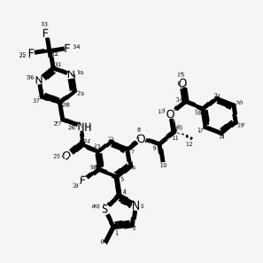 Cc1cnc(-c2cc(OC(C)[C@@H](C)OC(=O)c3ccccc3)cc(C(=O)NCc3cnc(C(F)(F)F)nc3)c2F)s1